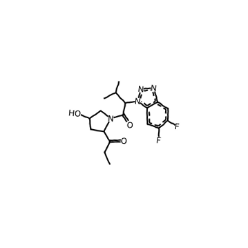 CCC(=O)C1CC(O)CN1C(=O)C(C(C)C)n1nnc2cc(F)c(F)cc21